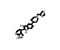 CCc1c(-c2ccnc3[nH]ncc23)[nH]c2ccc(C3CCN(Cc4cscn4)CC3)cc12